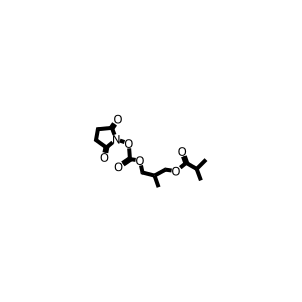 CC(COC(=O)ON1C(=O)CCC1=O)COC(=O)C(C)C